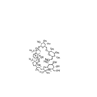 C[C@H](CC[C@@H](O[C@@H]1O[C@H](CO)[C@@H](O)[C@H](O)[C@H]1O)C(C)(C)O)[C@H]1CC[C@@]2(C)[C@H]3CC=C4[C@@H](CC[C@H](O[C@@H]5O[C@H](CO[C@@H]6O[C@H](CO)[C@@H](O)[C@H](O)[C@H]6O)[C@@H](O)[C@H](O)[C@H]5O)C4(C)C)[C@]3(C)[C@H](O)C[C@]12C